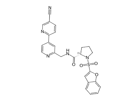 N#Cc1ccc(-c2ccnc(CNC(=O)[C@@H]3CCCN3S(=O)(=O)c3cc4ccccc4o3)c2)nc1